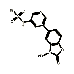 CCCn1c(=O)oc2ccc(-c3cncc(NS(=O)(=O)CC)c3)cc21